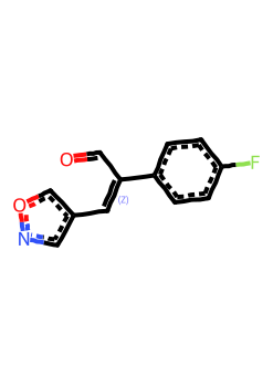 O=C/C(=C\c1cnoc1)c1ccc(F)cc1